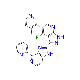 Cc1ccncc1-c1cnc2[nH]nc(-c3nc4c(-c5ccccn5)nccc4[nH]3)c2c1F